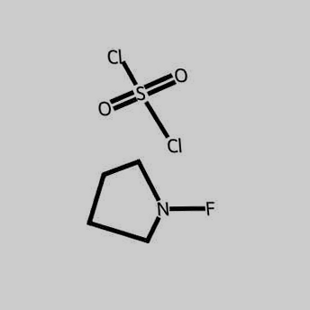 FN1CCCC1.O=S(=O)(Cl)Cl